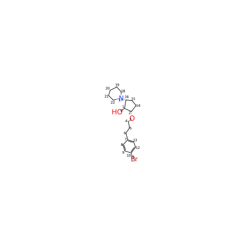 O[C@@H]1[C@@H](OCCCc2ccc(Br)cc2)CC[C@H]1N1CCCCC1